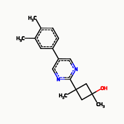 Cc1ccc(-c2cnc(C3(C)CC(C)(O)C3)nc2)cc1C